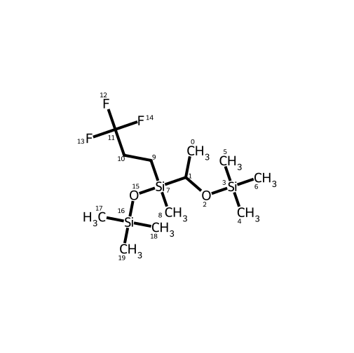 CC(O[Si](C)(C)C)[Si](C)(CCC(F)(F)F)O[Si](C)(C)C